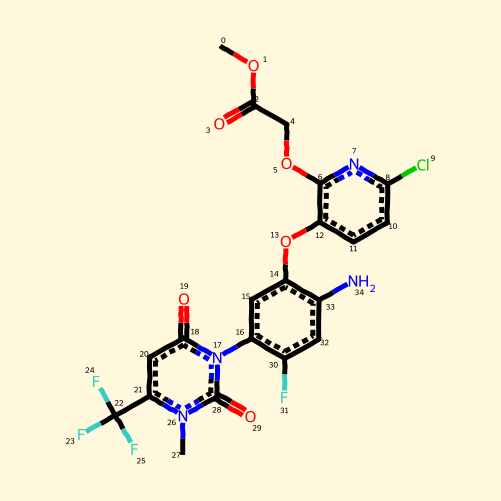 COC(=O)COc1nc(Cl)ccc1Oc1cc(-n2c(=O)cc(C(F)(F)F)n(C)c2=O)c(F)cc1N